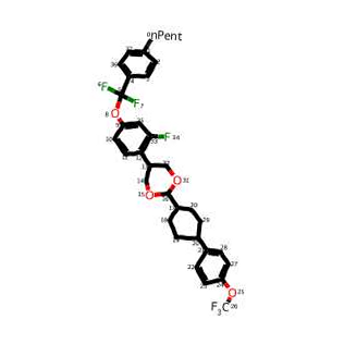 CCCCCc1ccc(C(F)(F)Oc2ccc(C3COC(C4CCC(c5ccc(OC(F)(F)F)cc5)CC4)OC3)c(F)c2)cc1